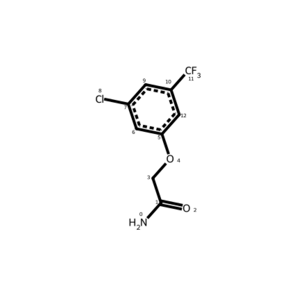 NC(=O)COc1cc(Cl)cc(C(F)(F)F)c1